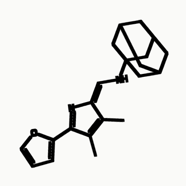 CC1=C(C)/C(=C\NC23CC4CC(CC(C4)C2)C3)N=C1c1ccco1